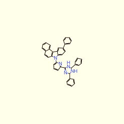 c1ccc(-c2ccc3c(c2)c2c4ccccc4ccc2n3-c2cccc(C3=NC(c4ccccc4)NC(c4ccccc4)N3)n2)cc1